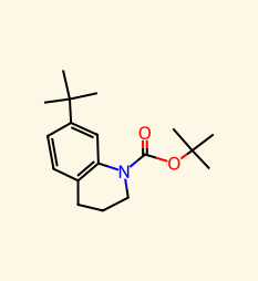 CC(C)(C)OC(=O)N1CCCc2ccc(C(C)(C)C)cc21